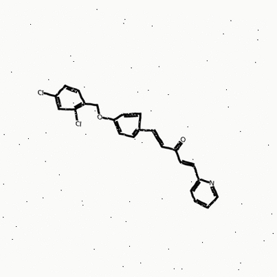 O=C(C=Cc1ccc(OCc2ccc(Cl)cc2Cl)cc1)C=Cc1ccccn1